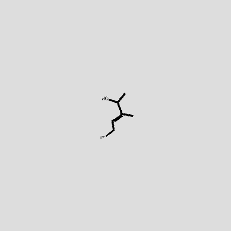 C/C(=C\CC(C)C)C(C)O